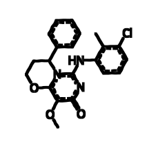 COc1c2n(c(Nc3cccc(Cl)c3C)nc1=O)C(c1ccccc1)CCO2